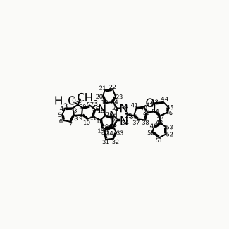 CC1(C)c2ccccc2-c2cc3c4ccccc4n(-c4ccccc4-c4nc(-c5ccccc5)nc(-c5ccc6c(c5)oc5cccc(-c7ccccc7)c56)n4)c3cc21